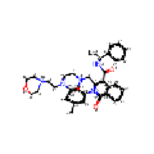 CC[C@H](NC(=O)c1c(CN2CCN(CCN3CCOCC3)CC2)n(-c2cccc(C)c2)c(=O)c2ccccc12)c1ccccc1